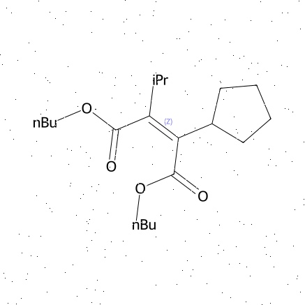 CCCCOC(=O)/C(=C(\C(=O)OCCCC)C1CCCC1)C(C)C